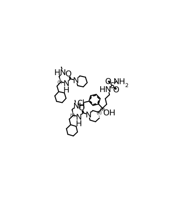 CNC[C@H](CC1CCCCC1)NC(=O)N1CCCCC1.CNC[C@H](CC1CCCCC1)NC(=O)N1CCC[C@@H]([C@@](O)(CCCNS(N)(=O)=O)c2cccc(Cl)c2)C1